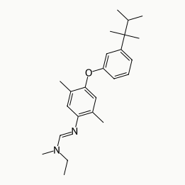 CCN(C)C=Nc1cc(C)c(Oc2cccc(C(C)(C)C(C)C)c2)cc1C